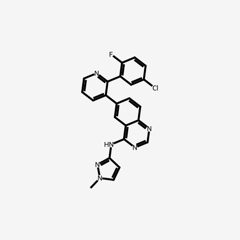 Cn1ccc(Nc2ncnc3ccc(-c4cccnc4-c4cc(Cl)ccc4F)cc23)n1